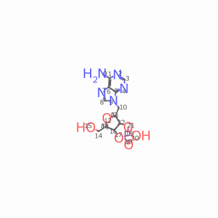 Nc1ncnc2c1ncn2C[C@@H]1O[C@H](CO)C2OP(=O)(O)OC21